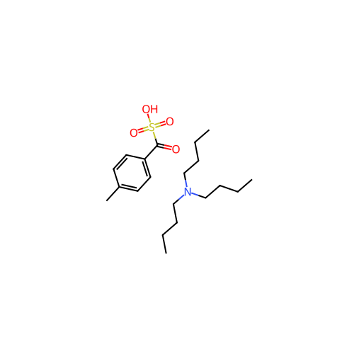 CCCCN(CCCC)CCCC.Cc1ccc(C(=O)S(=O)(=O)O)cc1